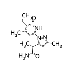 CCc1c(C)cc(-n2nc(C)cc2C(C)C(N)=O)[nH]c1=O